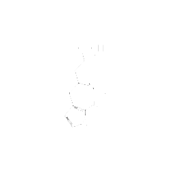 NC(CCC(=O)O)Cc1ccsc1Cl